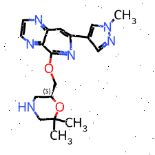 Cn1cc(-c2cc3nccnc3c(OC[C@@H]3CNCC(C)(C)O3)n2)cn1